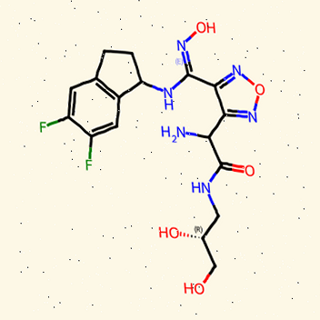 NC(C(=O)NC[C@@H](O)CO)c1nonc1/C(=N\O)NC1CCc2cc(F)c(F)cc21